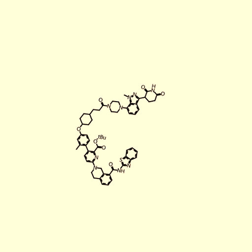 Cc1cc(OC2CCC(CCC(=O)N3CCN(c4cccc5c(C6CCC(=O)NC6=O)nn(C)c45)CC3)CC2)ccc1-c1ccc(N2CCc3cccc(C(=O)Nc4nc5ccccc5s4)c3C2)nc1C(=O)OC(C)(C)C